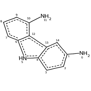 Nc1ccc2[nH]c3cccc(N)c3c2c1